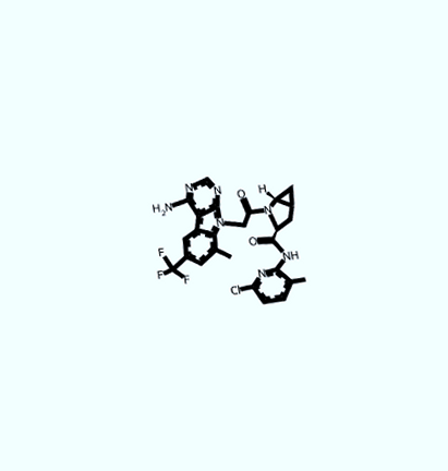 Cc1ccc(Cl)nc1NC(=O)[C@@H]1CC2C[C@H]2N1C(=O)Cn1c2ncnc(N)c2c2cc(C(F)(F)F)cc(C)c21